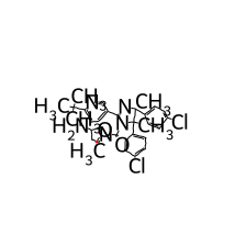 CCOc1cc(C(C)(C)C)ncc1C1=NC(C)(c2ccc(Cl)cc2)C(C)(c2ccc(Cl)cc2)N1C(=O)N1CCC(N)C1